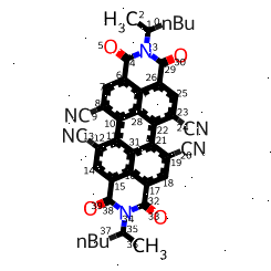 CCCCC(C)N1C(=O)c2cc(C#N)c3c4c(C#N)cc5c6c(cc(C#N)c(c7c(C#N)cc(c2c37)C1=O)c64)C(=O)N(C(C)CCCC)C5=O